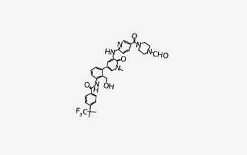 Cn1cc(-c2cccc(NC(=O)c3ccc(C(C)(C)C(F)(F)F)cc3)c2CO)cc(Nc2ccc(C(=O)N3CCN(C=O)CC3)cn2)c1=O